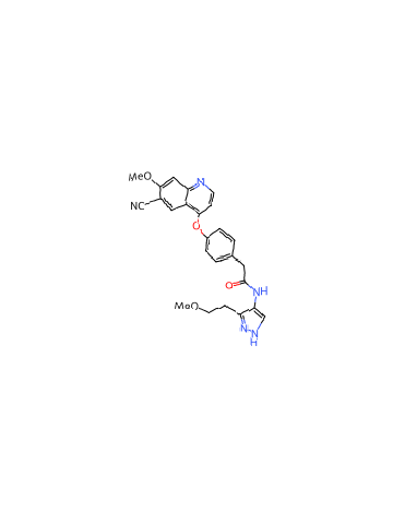 COCCc1n[nH]cc1NC(=O)Cc1ccc(Oc2ccnc3cc(OC)c(C#N)cc23)cc1